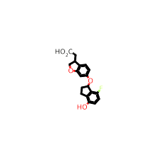 O=C(O)CC1COc2cc(OC3CCc4c(O)ccc(F)c43)ccc21